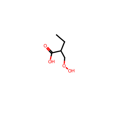 CCC(COO)C(=O)O